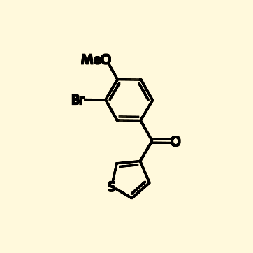 COc1ccc(C(=O)c2ccsc2)cc1Br